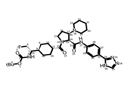 CC(C)(C)OC(=O)N[C@H](CF)[C@H]1CC[C@H](C(=O)N2CC[C@@H](N3CCCCC3)[C@H]2C(=O)Nc2ccc(-c3nnc[nH]3)cc2)CC1